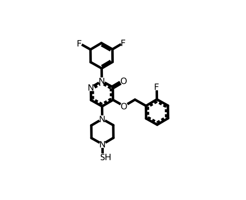 O=c1c(OCc2ccccc2F)c(N2CCN(S)CC2)cnn1C1=CC(F)=CC(F)C1